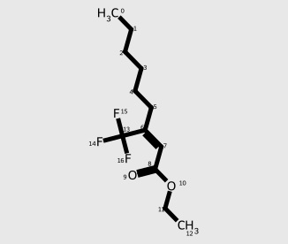 CCCCCC/C(=C/C(=O)OCC)C(F)(F)F